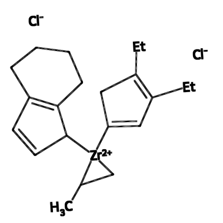 CCC1=C(CC)C[C]([Zr+2]2([CH]3C=CC4=C3CCCC4)[CH2][CH]2C)=C1.[Cl-].[Cl-]